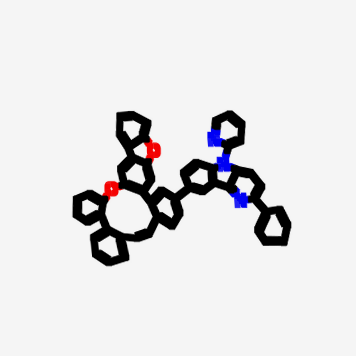 C1=C\c2ccc(-c3ccc4c(c3)c3nc(-c5ccccc5)ccc3n4-c3ccccn3)cc2-c2cc3oc4ccccc4c3cc2Oc2ccccc2-c2ccccc2/1